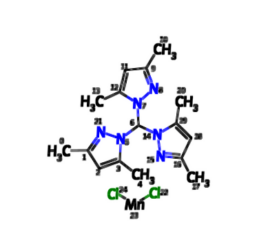 Cc1cc(C)n(C(n2nc(C)cc2C)n2nc(C)cc2C)n1.[Cl][Mn][Cl]